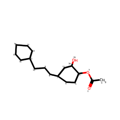 CC(=O)OC1CCC(CCCC2CCCCC2)CC1O